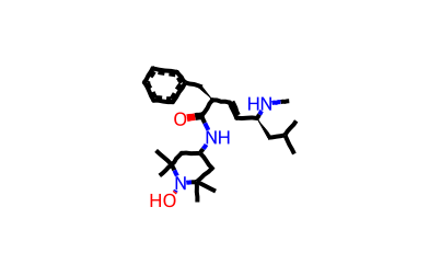 CN[C@H](/C=C/[C@H](Cc1ccccc1)C(=O)NC1CC(C)(C)N(O)C(C)(C)C1)CC(C)C